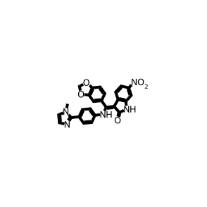 Cn1ccnc1-c1ccc(N/C(=C2\C(=O)Nc3cc([N+](=O)[O-])ccc32)c2ccc3c(c2)OCO3)cc1